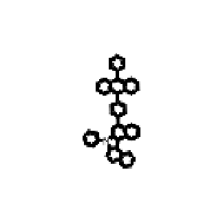 c1ccc(-c2c3ccccc3c(-c3ccc(-c4cc5c(c6ccccc46)c4c6ccccc6ccc4n5-c4ccccc4)cc3)c3ccccc23)cc1